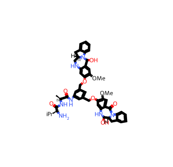 COc1cc2c(cc1OCc1cc(COc3cc4c(cc3OC)C(O)N3c5ccccc5C[C@H]3CN4)cc(NC(=O)[C@H](C)NC(=O)[C@@H](N)C(C)C)c1)NC(O)[C@@H]1Cc3ccccc3N1C2=O